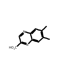 Cc1cc2ncc(C(=O)O)nc2cc1C